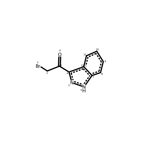 O=C(CBr)c1n[nH]c2ccccc12